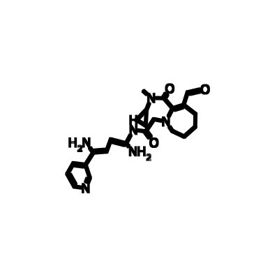 CN(C(=O)C1=C(C=O)CCCCN1CC(=O)N/C(N)=C/C=C(\N)c1cccnc1)C1CC1